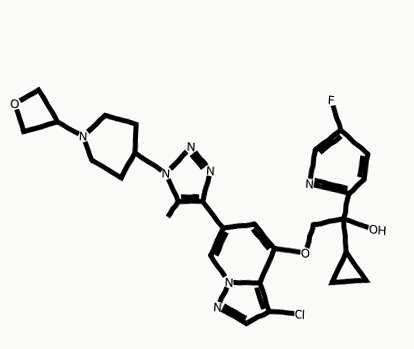 Cc1c(-c2cc(OCC(O)(c3ccc(F)cn3)C3CC3)c3c(Cl)cnn3c2)nnn1C1CCN(C2COC2)CC1